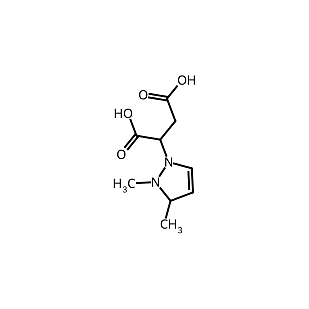 CC1C=CN(C(CC(=O)O)C(=O)O)N1C